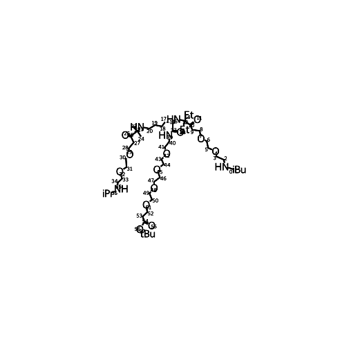 CCC(C)NCCOCCOCCC(=O)C(CC)(CC)N[C@@H](CCCCNC(C)(C)C(=O)CCOCCOCCNC(C)C)C(=O)NCCOCCOCCOCCOCCC(=O)OC(C)(C)C